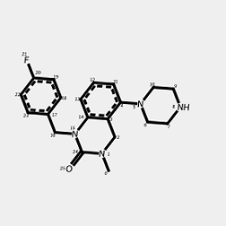 CN1Cc2c(N3CCNCC3)cccc2N(Cc2ccc(F)cc2)C1=O